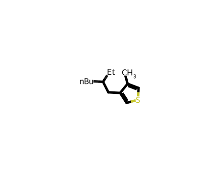 CCCCC(CC)Cc1cscc1C